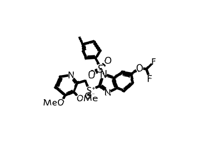 COc1ccnc(C[S+]([O-])c2nc3ccc(OC(F)F)cc3n2S(=O)(=O)c2ccc(C)cc2)c1OC